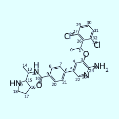 CC(Oc1cc(-c2ccc(C(=O)NC(C)C3CCCN3)cc2)cnc1N)c1c(Cl)cccc1Cl